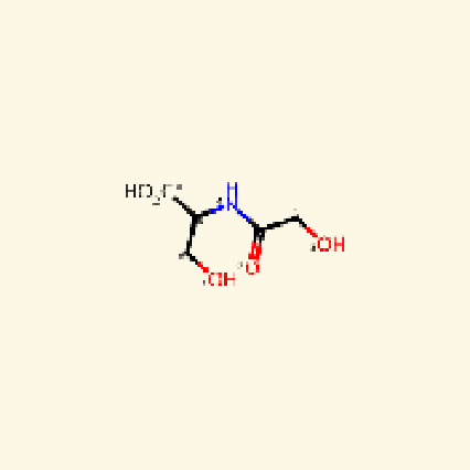 O=C(CO)NC(CO)C(=O)O